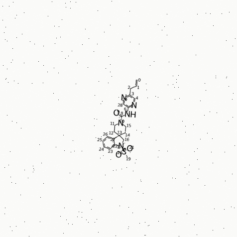 C=CCc1cnc(NC(=O)N2CCC3(CC2)CN(S(C)(=O)=O)c2ccccc23)cn1